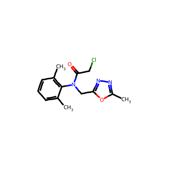 Cc1nnc(CN(C(=O)CCl)c2c(C)cccc2C)o1